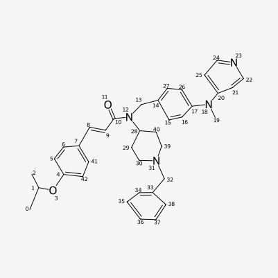 CC(C)Oc1ccc(/C=C/C(=O)N(Cc2ccc(N(C)c3ccncc3)cc2)C2CCN(Cc3ccccc3)CC2)cc1